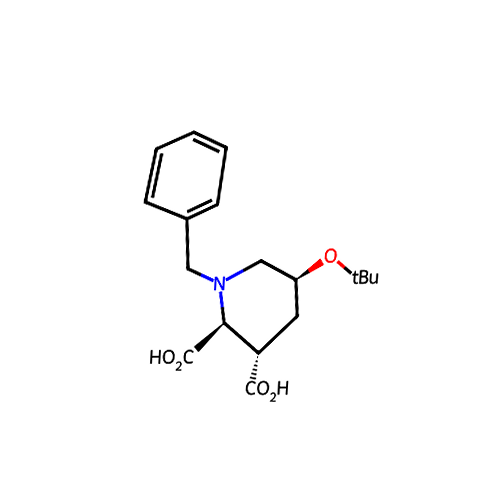 CC(C)(C)O[C@H]1C[C@H](C(=O)O)[C@@H](C(=O)O)N(Cc2ccccc2)C1